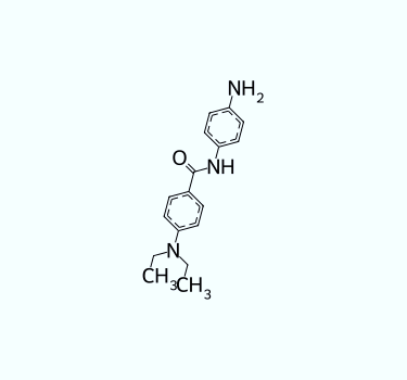 CCN(CC)c1ccc(C(=O)Nc2ccc(N)cc2)cc1